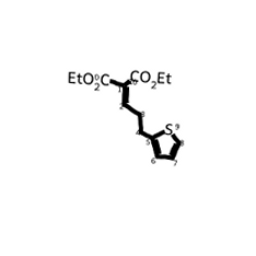 CCOC(=O)C(=CCCc1cccs1)C(=O)OCC